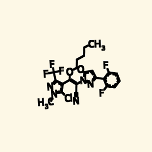 CCCCC(=O)O/C(=C(/C#N)n1ccc(-c2c(F)cccc2F)n1)c1c(C(F)(F)F)nn(C)c1Cl